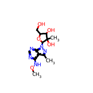 CONc1ncnc2c1c(C)nn2C1OC(CO)C(O)C1(C)O